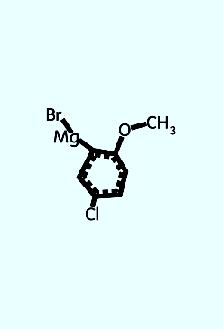 COc1ccc(Cl)c[c]1[Mg][Br]